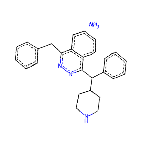 N.c1ccc(Cc2nnc(C(c3ccccc3)C3CCNCC3)c3ccccc23)cc1